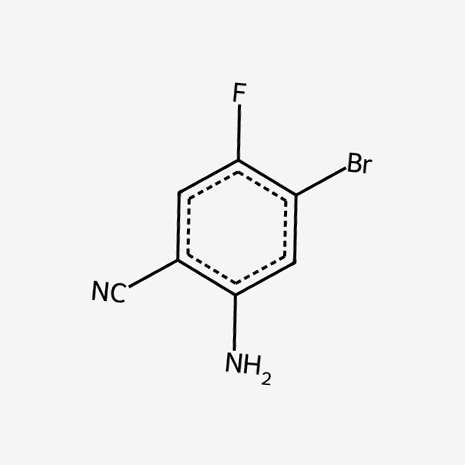 N#Cc1cc(F)c(Br)cc1N